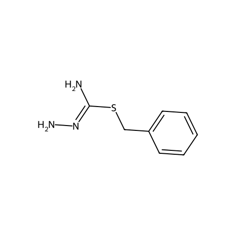 NN=C(N)SCc1ccccc1